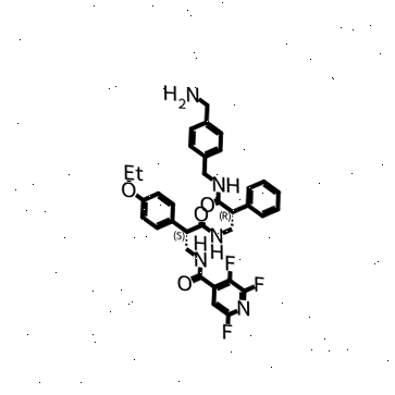 CCOc1ccc([C@@H](CNC(=O)c2cc(F)nc(F)c2F)C(=O)NC[C@H](C(=O)NCc2ccc(CN)cc2)c2ccccc2)cc1